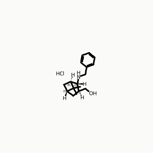 CC1(C)[C@@H]2C[C@H](CO)[C@@H](NCc3ccccc3)[C@@H]1C2.Cl